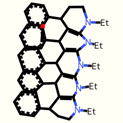 CCN1CCC(c2ccccc2)C2=C1N(CC)C1=C(C2c2ccccc2)C(c2ccccc2)C2=C(N(CC)C3=C(C(c4ccccc4C)CCN3CC)C2c2ccccc2)N1CC